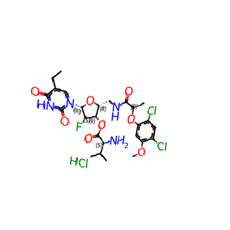 CCc1cn([C@@H]2O[C@H](CNC(=O)[C@@H](C)Oc3cc(OC)c(Cl)cc3Cl)[C@@H](OC(=O)[C@@H](N)C(C)C)[C@@H]2F)c(=O)[nH]c1=O.Cl